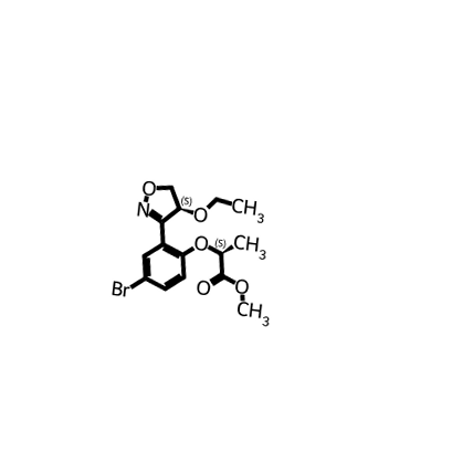 CCO[C@@H]1CON=C1c1cc(Br)ccc1O[C@@H](C)C(=O)OC